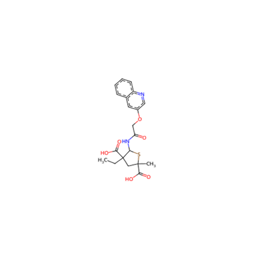 CCC1(C(=O)O)CC(C)(C(=O)O)SC1NC(=O)COc1cnc2ccccc2c1